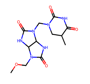 COCN1C(=O)NC2C1NC(=O)N2CN1CC(C)C(=O)NC1=O